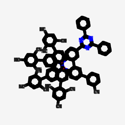 N#Cc1cccc(-c2ccc(-n3c4ccc(-c5c(C#N)cc(C#N)cc5C#N)cc4c4cc(-c5c(C#N)cc(C#N)cc5C#N)ccc43)c(-c3cc(-c4nc(-c5ccccc5)nc(-c5ccccc5)n4)ccc3-n3c4ccc(-c5c(C#N)cc(C#N)cc5C#N)cc4c4cc(-c5c(C#N)cc(C#N)cc5C#N)ccc43)c2)c1